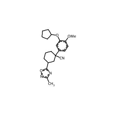 COc1ccc(C2(C#N)CCCC(c3nc(C)no3)C2)cc1OC1CCCC1